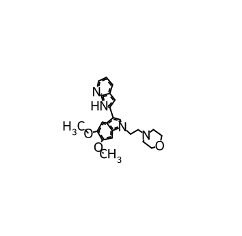 COc1cc2c(-c3cc4cccnc4[nH]3)cn(CCN3CCOCC3)c2cc1OC